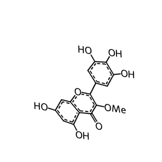 COc1c(-c2cc(O)c(O)c(O)c2)oc2cc(O)cc(O)c2c1=O